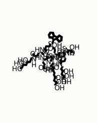 O=C(O)CC[C@H](NC(=O)[C@H](CCC(=O)NCC[C@@H](O)C[C@H](O)CO)NC(=O)CCSCC1c2ccccc2-c2ccccc21)C(=O)N[C@@H](CCC(=O)NCC[C@@H](O)C[C@H](O)CO)C(=O)N[C@@H](CCC(=O)O)C(=O)N[C@@H](CCC(=O)NCC[C@@H](O)C[C@H](O)CO)C(=O)N[C@@H](CS)C(=O)O